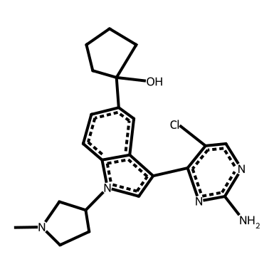 CN1CCC(n2cc(-c3nc(N)ncc3Cl)c3cc(C4(O)CCCC4)ccc32)C1